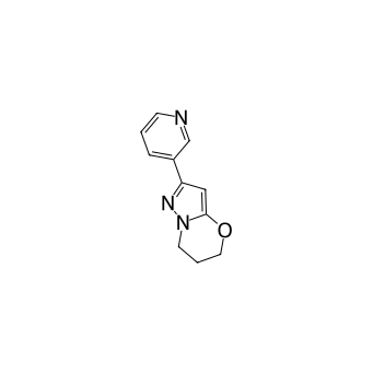 c1cncc(-c2cc3n(n2)CCCO3)c1